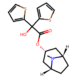 CN1[C@@H]2CC[C@H]1C[C@@H](OC(=O)C(O)(c1cccs1)c1cccs1)C2